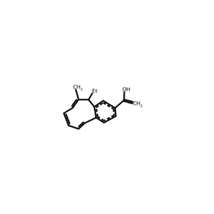 C=C(O)c1ccc2c(c1)C(CC)/C(C)=C/C=C\C=C\2